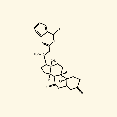 CCC(NC(=O)C[C@@H](C)C1CC[C@H]2C3C(=O)CC4CC(=O)CCC4(C)[C@H]3CCC12C)c1ccccc1